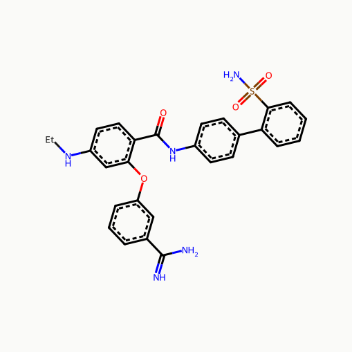 CCNc1ccc(C(=O)Nc2ccc(-c3ccccc3S(N)(=O)=O)cc2)c(Oc2cccc(C(=N)N)c2)c1